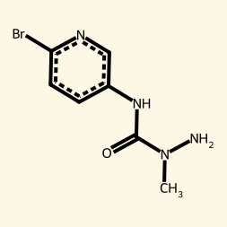 CN(N)C(=O)Nc1ccc(Br)nc1